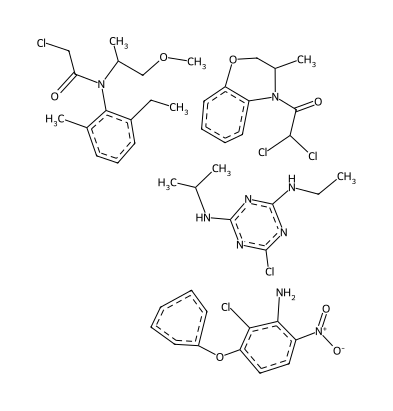 CC1COc2ccccc2N1C(=O)C(Cl)Cl.CCNc1nc(Cl)nc(NC(C)C)n1.CCc1cccc(C)c1N(C(=O)CCl)C(C)COC.Nc1c([N+](=O)[O-])ccc(Oc2ccccc2)c1Cl